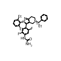 CCc1cccc(CC)c1-n1nc2c(c1-c1cc(F)c(NC(N)=O)cc1F)CN([C@@H](CC)c1ccccc1)CC2